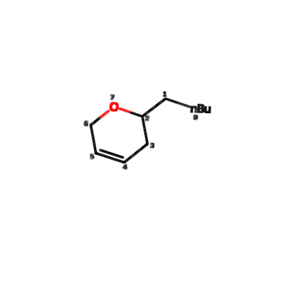 CCCCCC1CC=CCO1